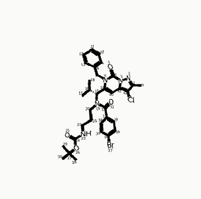 Cc1nn2c(=O)n(Cc3ccccc3)c([C@@H](C(C)C)N(CCCNC(=O)OC(C)(C)C)C(=O)c3ccc(Br)cc3)cc2c1Cl